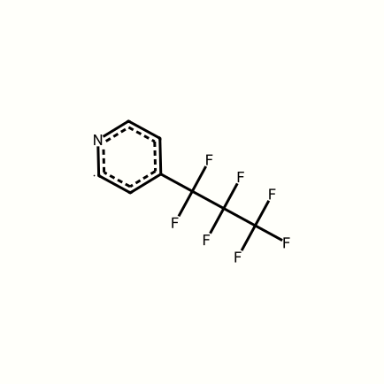 FC(F)(F)C(F)(F)C(F)(F)c1c[c]ncc1